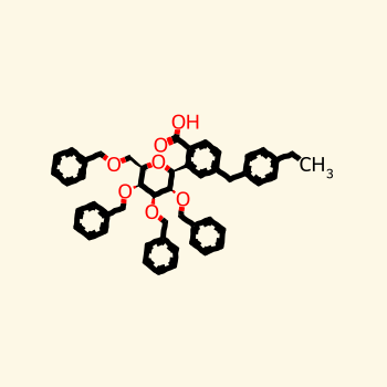 CCc1ccc(Cc2ccc(C(=O)O)c([C@@H]3O[C@H](COCc4ccccc4)[C@@H](OCc4ccccc4)[C@H](OCc4ccccc4)[C@H]3OCc3ccccc3)c2)cc1